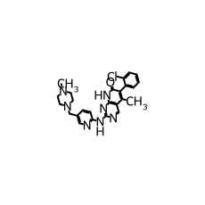 Cc1c(-c2ccccc2Cl)c(=O)[nH]c2nc(Nc3ccc(CN4CCN(C)CC4)cn3)ncc12